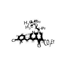 CCOC(=O)c1cn([C@H](CO[Si](C)(C)C(C)(C)C)C(C)C)c2ncc(Cc3cccc(Cl)c3F)cc2c1=O